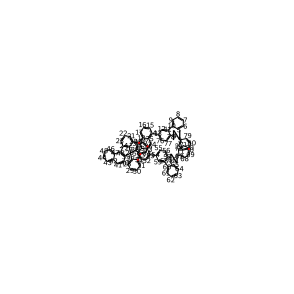 c1ccc(-n2c3ccccc3c3cc(-c4cccc5c(-c6cccc7c6C6(c8ccccc8-c8ccccc86)c6ccc8ccccc8c6-7)c6cccc(-c7ccc8c(c7)c7ccccc7n8-c7ccccc7)c6cc45)ccc32)cc1